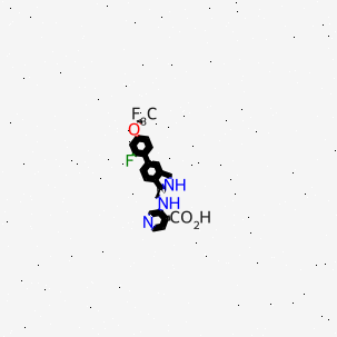 O=C(O)c1ccncc1NC[C@@H]1NCc2cc(-c3ccc(OCC(F)(F)F)cc3F)ccc21